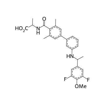 COc1c(F)cc(C(C)Nc2cccc(-c3cc(C)c(C(=O)NC(C)C(=O)O)c(C)c3)c2)cc1F